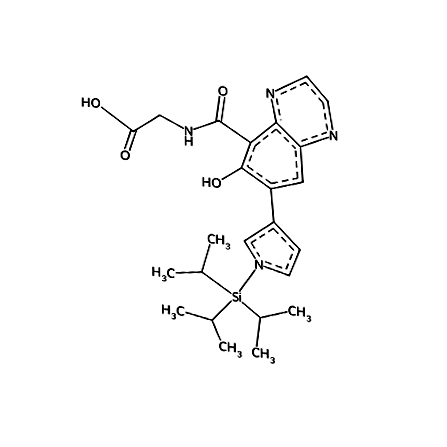 CC(C)[Si](C(C)C)(C(C)C)n1ccc(-c2cc3nccnc3c(C(=O)NCC(=O)O)c2O)c1